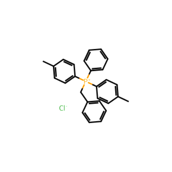 Cc1ccc([P+](Cc2ccccc2)(c2ccccc2)c2ccc(C)cc2)cc1.[Cl-]